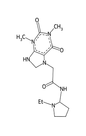 CCN1CCCC1NC(=O)CN1CNc2c1c(=O)n(C)c(=O)n2C